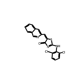 O=C1N=C(Nc2c(Cl)cccc2Cl)SC1=Cc1cc2ccccc2cn1